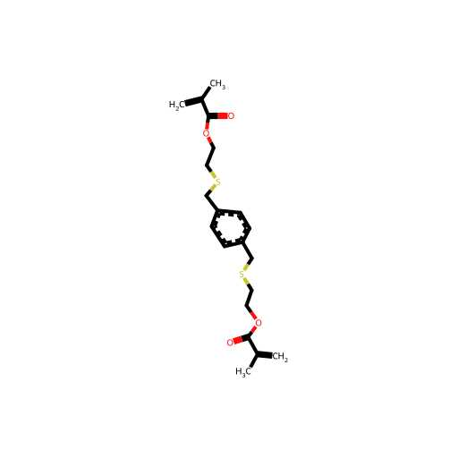 C=C(C)C(=O)OCCSCc1ccc(CSCCOC(=O)C(=C)C)cc1